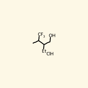 CCC(CO)C(C)C(F)(F)F.Cl